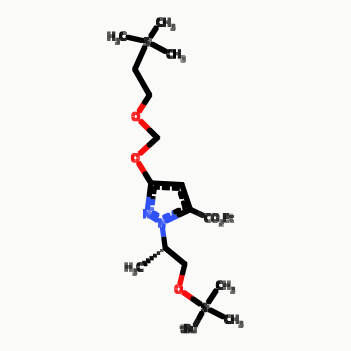 CCOC(=O)c1cc(OCOCC[Si](C)(C)C)nn1[C@@H](C)CO[Si](C)(C)C(C)(C)C